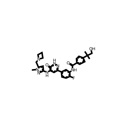 Cn1nc(Nc2cc(-c3ccc(F)c(NC(=O)c4ccc(C(C)(C)CO)cc4)c3)n[nH]c2=O)cc1CN1CCC1